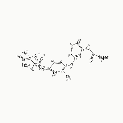 CNC(=O)Oc1cc(Oc2ccc(NC(=O)C3CNC(=O)C3(C)C)nc2C)ccn1